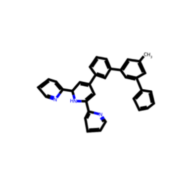 Cc1cc(-c2ccccc2)cc(-c2cccc(C3=CC(c4ccccn4)NC(c4ccccn4)=C3)c2)c1